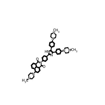 CN1CCN(c2ccc(-c3nc(-c4ccc(N5C(=O)c6cccc7c(N8CCN(C)CC8)ccc(c67)C5=O)cc4)[nH]c3-c3ccc(N4CCN(C)CC4)cc3)cc2)CC1